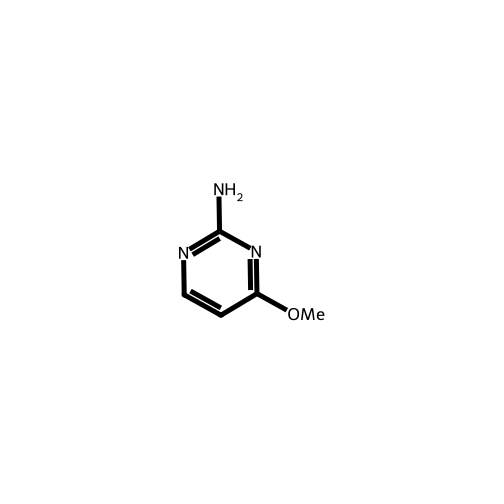 [CH2]Oc1ccnc(N)n1